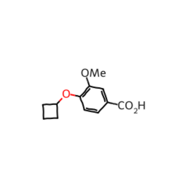 COc1cc(C(=O)O)ccc1OC1CCC1